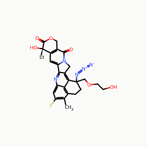 CC[C@@]1(O)C(=O)OCc2c1cc1n(c2=O)Cc2c-1nc1cc(F)c(C)c3c1c2C(COCCO)(N=[N+]=[N-])CC3